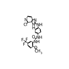 COc1ccc(C(F)(F)F)cc1NC(=O)Nc1ccc(Nc2nc3ccnc(Cl)c3[nH]2)cc1